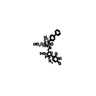 C[C@H](NP(=O)(OC[C@H]1O[C@@H](n2ccc(=O)[nH]c2=O)[C@](C)(F)[C@@H]1O)Oc1ccc(-c2ccccc2)cc1)C(=O)O